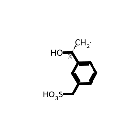 [CH2][C@@H](O)c1cccc(CS(=O)(=O)O)c1